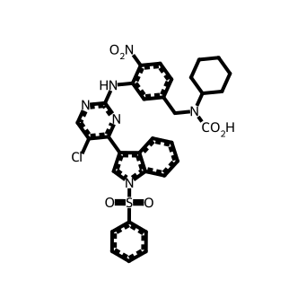 O=C(O)N(Cc1ccc([N+](=O)[O-])c(Nc2ncc(Cl)c(-c3cn(S(=O)(=O)c4ccccc4)c4ccccc34)n2)c1)C1CCCCC1